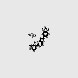 CC1CC(c2ncc3nc(-c4ccc5c(c4)OCO5)cc-3[nH]2)CCN1.Cl.O